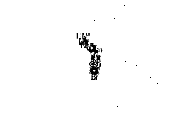 CNc1cc(N2CCC(C(=O)N3CCN(S(=O)(=O)c4ccc(Br)cc4)CC3)CC2)ncn1